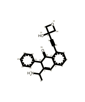 CC(N)C1=Cc2cccc(C#CC3(O)COC3)c2C(=O)C1c1ccccc1